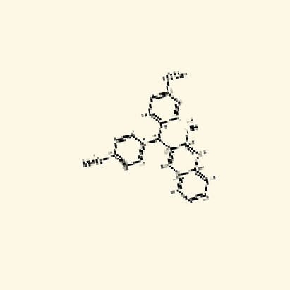 COc1ccc(C(c2ccc(OC)cc2)c2cc3ccccc3nc2O)cc1